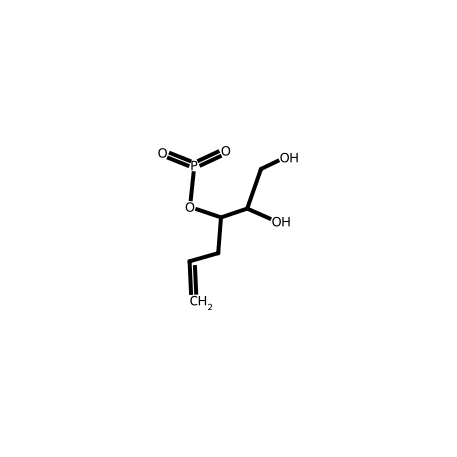 C=CCC(OP(=O)=O)C(O)CO